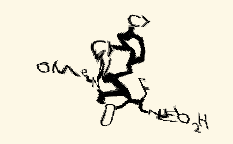 COCn1nc(Cc2ccc(Cl)cc2Cl)c2c1COC/C2=C(/F)CNC(=O)O